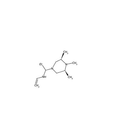 C=CNC(CC)N1C[C@@H](C)N(C)[C@@H](C)C1